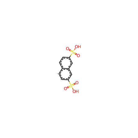 O=S(=O)(O)c1[c][c]c2ccc(S(=O)(=O)O)cc2c1